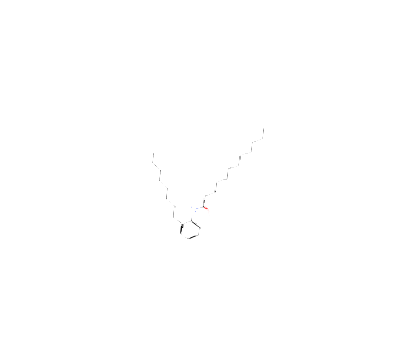 CCCCCCCCCCCC(=O)Nc1ccccc1CCCCCCCC